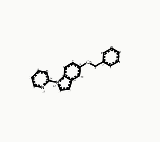 c1ccc(COc2ccc3c(ccn3-c3ccccn3)c2)cc1